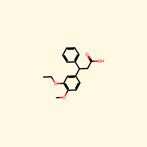 CCOc1cc(C(CC(=O)O)c2ccccc2)ccc1OC